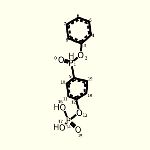 O=[PH](Oc1ccccc1)c1ccc(OP(=O)(O)O)cc1